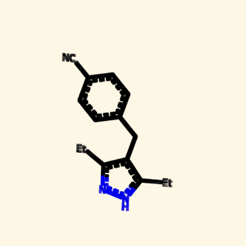 CCc1n[nH]c(CC)c1Cc1ccc(C#N)cc1